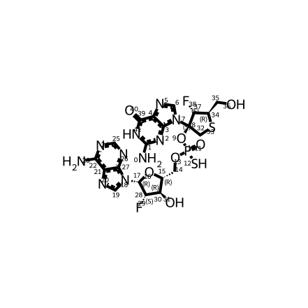 Nc1nc2c(ncn2[C@@]2(OP(=O)(S)OC[C@H]3O[C@@H](n4cnc5c(N)ncnc54)[C@@H](F)[C@@H]3O)CS[C@H](CO)[C@H]2F)c(=O)[nH]1